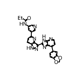 CCC(=O)Nc1cncc(-c2ccc3[nH]nc(-c4nc5c(-c6ccc7c(c6)OCO7)ccnc5[nH]4)c3n2)c1